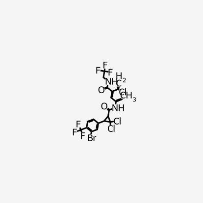 C=C(Cl)/C(=C\C(=C/C)NC(=O)C1C(c2ccc(C(F)(F)F)c(Br)c2)C1(Cl)Cl)C(=O)NCC(F)(F)F